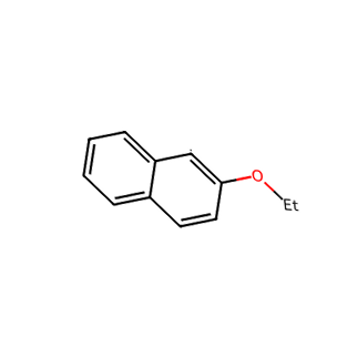 CCOc1[c]c2ccccc2cc1